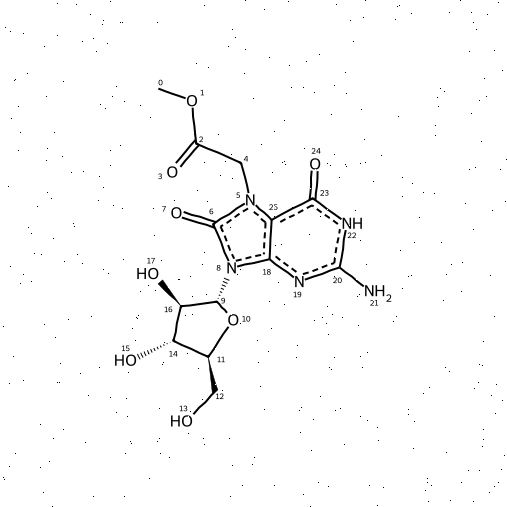 COC(=O)Cn1c(=O)n([C@@H]2O[C@@H](CO)[C@H](O)[C@H]2O)c2nc(N)[nH]c(=O)c21